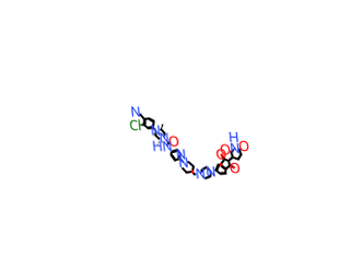 C[C@@H]1CN(c2ccc(C#N)c(Cl)c2)[C@@H](C)CN1C(=O)Nc1ccc(N2CCC(CN3CCN(c4ccc5c(c4)C(=O)C(C4CCC(=O)NC4=O)C5=O)CC3)CC2)nc1